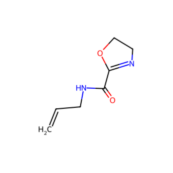 C=CCNC(=O)C1=NCCO1